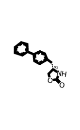 O=C1N[C@@H](Cc2ccc(-c3ccccc3)cc2)CO1